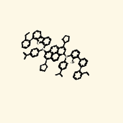 CCc1ccccc1-c1cccc(-c2cccc(N(c3ccc(C(C)C)cc3)c3cc(C4CCCC4)c4ccc5c(N(c6ccc(C(C)C)cc6)c6cccc7c6oc6c(-c8ccccc8CC)cccc67)cc(C6CCCC6)c6ccc3c4c65)c2O)c1